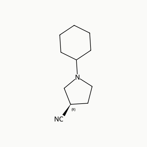 N#C[C@@H]1CCN(C2CCCCC2)C1